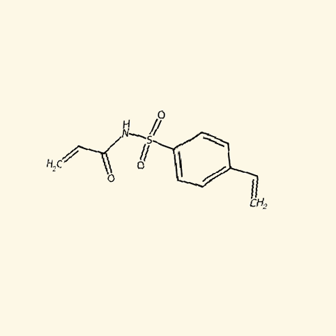 C=CC(=O)NS(=O)(=O)c1ccc(C=C)cc1